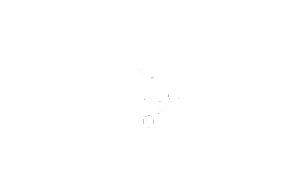 CC=C(C)CS(C)(=O)=O